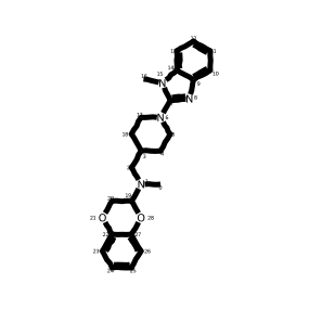 CN(CC1CCN(c2nc3ccccc3n2C)CC1)C1COc2ccccc2O1